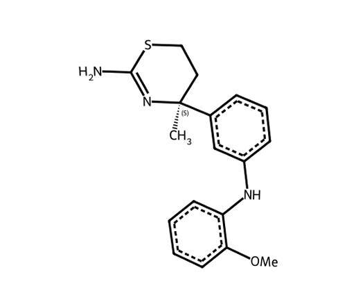 COc1ccccc1Nc1cccc([C@]2(C)CCSC(N)=N2)c1